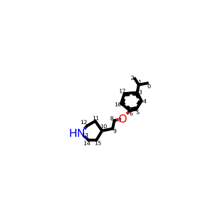 CC(C)c1ccc(OCCC2CCNCC2)cc1